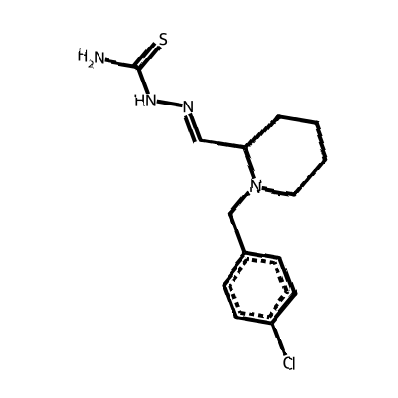 NC(=S)NN=CC1CCCCN1Cc1ccc(Cl)cc1